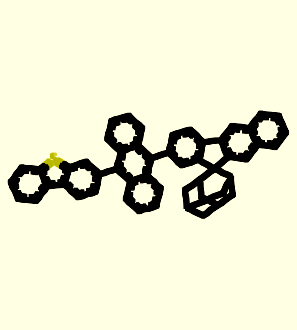 c1ccc2cc3c(cc2c1)-c1ccc(-c2c4ccccc4c(-c4ccc5c(c4)sc4ccccc45)c4ccccc24)cc1C31C2CC3CC(C2)CC1C3